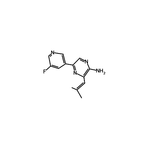 CC(C)=Cc1nc(-c2cncc(F)c2)cnc1N